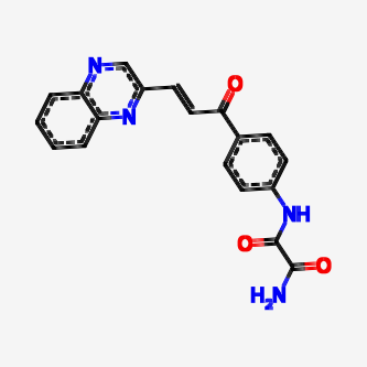 NC(=O)C(=O)Nc1ccc(C(=O)C=Cc2cnc3ccccc3n2)cc1